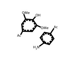 CC(=O)c1ccc(N)cc1.COc1cc(C(C)=O)cc(OC)c1O